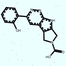 O=C(O)N1Cc2[nH]c3nnc(-c4ccccc4O)cc3c2C1